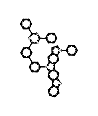 c1ccc(-c2nc(-c3ccccc3)nc(-c3cccc(-c4cccc(-n5c6cc7ccn(-c8ccccc8)c7cc6c6cc7sc8ccccc8c7cc65)c4)c3)n2)cc1